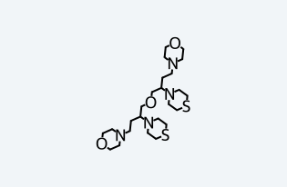 C1CN(CCC(COCC(CCN2CCOCC2)N2CCSCC2)N2CCSCC2)CCO1